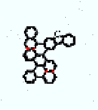 c1ccc2c(-c3cc4c(cc3-c3cccc5ccccc35)oc3ccccc34)c3ccccc3c(-c3ccccc3C3=CC=CCC3)c2c#1